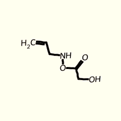 C=CCNOC(=O)CO